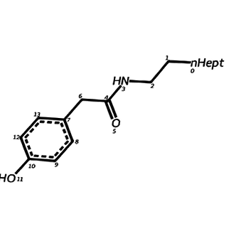 CCCCCCCCCNC(=O)Cc1ccc(O)cc1